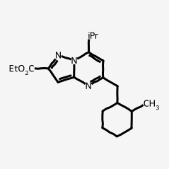 CCOC(=O)c1cc2nc(CC3CCCCC3C)cc(C(C)C)n2n1